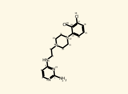 Nc1nccc(NCCN2CCN(c3cccc(Cl)c3Cl)CC2)n1